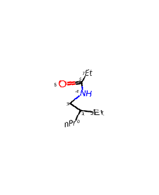 CCCC(CC)CNC(=O)CC